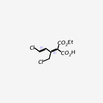 CCOC(=O)/C(C(=O)O)=C(\C=C\Cl)CCl